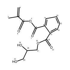 C=C(C)C(=O)OC(=O)c1ccccc1C(=O)OCC(O)CO